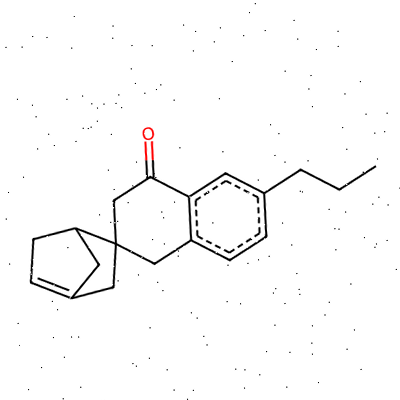 CCCc1ccc2c(c1)C(=O)CC1(CC3=CCC1C3)C2